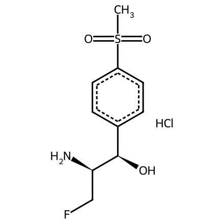 CS(=O)(=O)c1ccc([C@@H](O)[C@H](N)CF)cc1.Cl